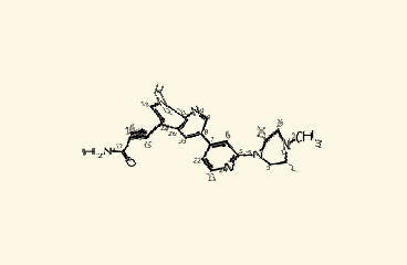 CN1CCN(c2cc(-c3cnc4[nH]cc(/C=C/C(N)=O)c4c3)ccn2)CC1